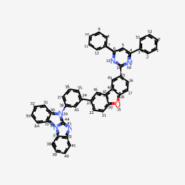 c1ccc(-c2cc(-c3ccccc3)nc(-c3ccc4oc5ccc(-c6cccc(-n7c8ccccc8n8c9ccccc9nc78)c6)cc5c4c3)n2)cc1